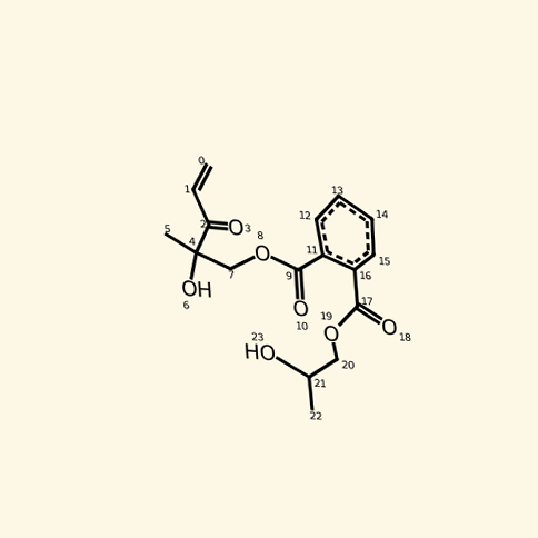 C=CC(=O)C(C)(O)COC(=O)c1ccccc1C(=O)OCC(C)O